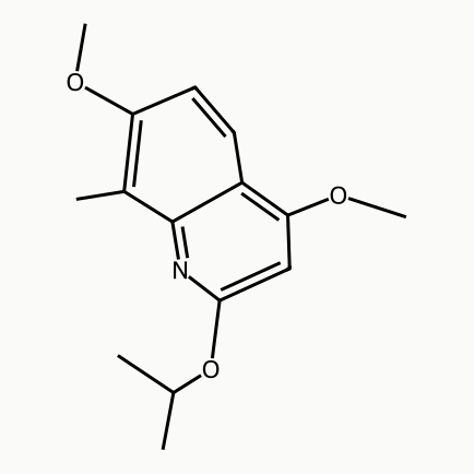 COc1ccc2c(OC)cc(OC(C)C)nc2c1C